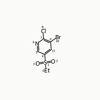 CCS(=O)(=O)c1cnc(Cl)c(Br)c1